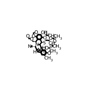 COCOc1c(OC)c(C)cc2c1[C@H]1C3[C@H](SC[C@H](C)OC(C)=O)c4c(OC(C)=O)c(C)c5c(c4[C@H](COC=O)N3[C@@H](C#N)[C@H](C2)N1C)OCO5